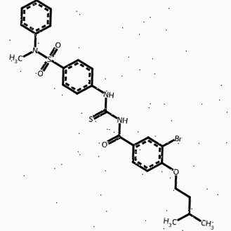 CC(C)CCOc1ccc(C(=O)NC(=S)Nc2ccc(S(=O)(=O)N(C)c3ccccc3)cc2)cc1Br